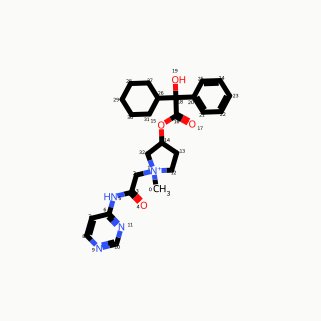 C[N+]1(CC(=O)Nc2ccncn2)CCC(OC(=O)C(O)(c2ccccc2)C2CCCCC2)C1